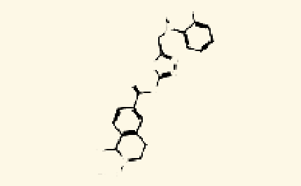 CN(Cc1nnc(NC(=O)c2ccc3c(c2)CCN(C(=O)O)C3C(C)(C)C)s1)c1ccccc1Cl